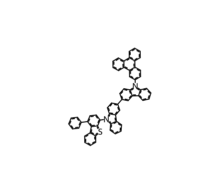 c1ccc(-c2ccc(-n3c4ccccc4c4cc(-c5ccc6c(c5)c5ccccc5n6-c5ccc6c7ccccc7c7ccccc7c6c5)ccc43)c3sc4ccccc4c23)cc1